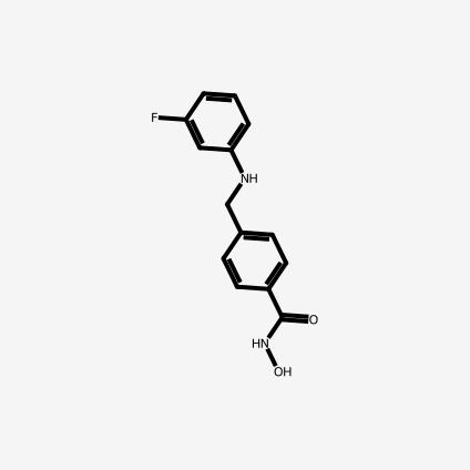 O=C(NO)c1ccc(CNc2cccc(F)c2)cc1